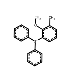 COc1c(C)cccc1[S+](c1ccccc1)c1ccccc1